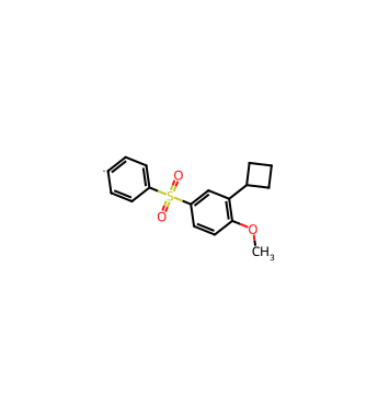 COc1ccc(S(=O)(=O)c2cc[c]cc2)cc1C1CCC1